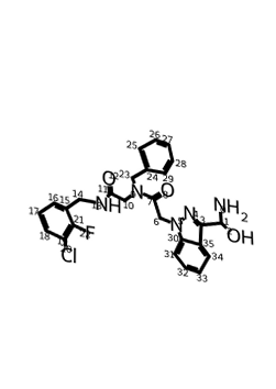 NC(O)c1nn(CC(=O)N(CC(=O)NCc2cccc(Cl)c2F)Cc2ccccc2)c2ccccc12